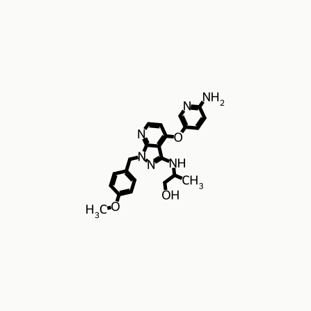 COc1ccc(Cn2nc(NC(C)CO)c3c(Oc4ccc(N)nc4)ccnc32)cc1